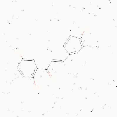 COc1cc(C=CC(=O)c2cc(O)ccc2O)ccc1O